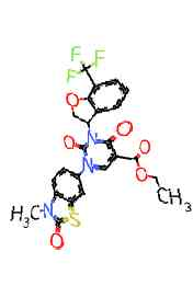 CCOC(=O)c1cn(-c2ccc3c(c2)sc(=O)n3C)c(=O)n(C2COc3c2cccc3C(F)(F)F)c1=O